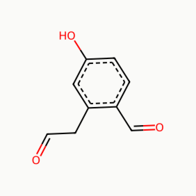 O=CCc1cc(O)ccc1C=O